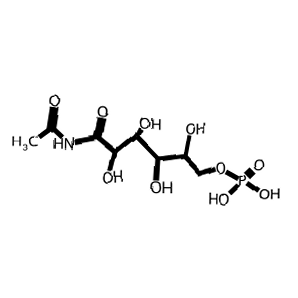 CC(=O)NC(=O)C(O)C(O)C(O)C(O)COP(=O)(O)O